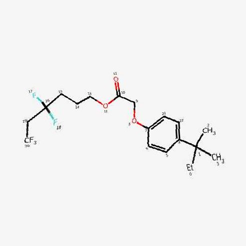 CCC(C)(C)c1ccc(OCC(=O)OCCCC(F)(F)CC(F)(F)F)cc1